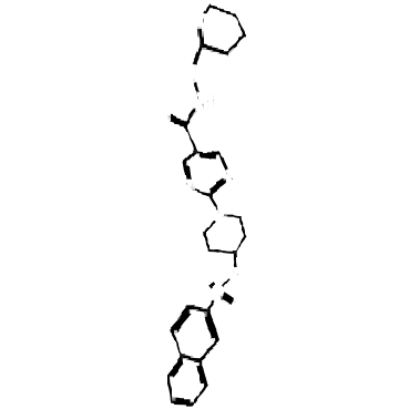 O=C(NOC1CCCCO1)c1cnc(N2CCC(NS(=O)(=O)c3ccc4ccccc4c3)CC2)nc1